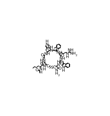 CCCC[C@H](NC(C)=O)C(=O)N[C@@H]1CSSC[C@H](C(N)=O)NC(=O)[C@H](Cc2c[nH]c3ccccc23)NC(=O)[C@H](CCCNC(=N)N)NC(=O)[C@@H](Cc2ccccc2)NC(=O)[C@H](Cc2c[nH]cn2)NC(=O)[C@@H](C)NC1=O